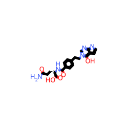 NC(=O)CC[C@H](NC(=O)c1ccc(CCn2cnc3nccc-3c2O)cc1)C(=O)O